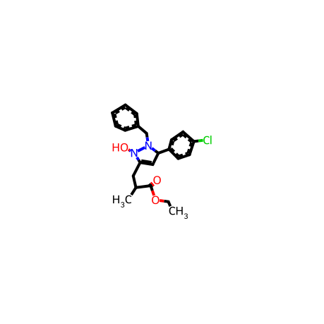 CCOC(=O)C(C)CC1=CC(c2ccc(Cl)cc2)N(Cc2ccccc2)N1O